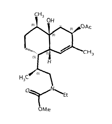 CCN(C[C@@H](C)[C@@H]1CC[C@@H](C)[C@]2(O)[C][C@@H](OC(C)=O)C(C)=C[C@H]12)C(=O)OC